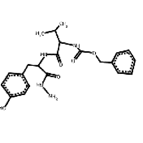 CC(C)C(NC(=O)OCc1ccccc1)C(=O)NC(Cc1ccc(O)cc1)C(=O)NN